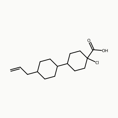 C=CCC1CCC(C2CCC(Cl)(C(=O)O)CC2)CC1